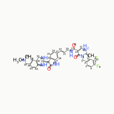 C=CN(Cc1ccc(F)c(F)c1)C(=O)/C(=C\N)C(=O)NC/C=C/c1ccc2c(c1)NC(=O)/C2=C1/NCc2cc(CN(C)C)ccc2N1